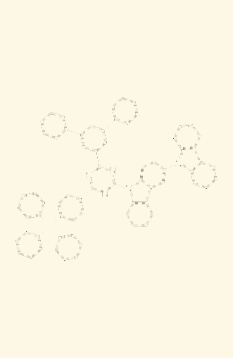 c1ccc(-c2cc(-c3ccccc3)cc(-c3nc(-c4ccc([Si](c5ccccc5)(c5ccccc5)c5ccccc5)cc4)nc(-n4c5ccccc5c5cc(-n6c7ccccc7c7ccccc76)ccc54)n3)c2)cc1